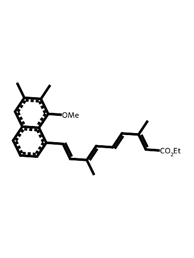 CCOC(=O)C=C(C)C=CC=C(C)C=Cc1cccc2cc(C)c(C)c(OC)c12